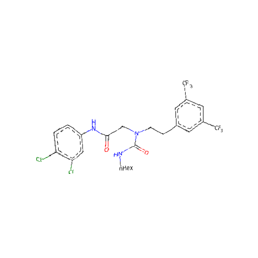 CCCCCCNC(=O)N(CCc1cc(C(F)(F)F)cc(C(F)(F)F)c1)CC(=O)Nc1ccc(Cl)c(Cl)c1